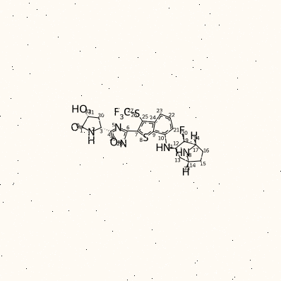 O=C1N[C@@H](c2nc(-c3sc4c(N[C@@H]5C[C@H]6CC[C@H](N6)[C@@H]5F)cccc4c3SC(F)(F)F)no2)C[C@H]1O